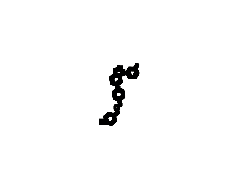 Cc1cccc(-n2ncc3ccc(N4CCN(COCC5CCNCC5)CC4)cc32)c1